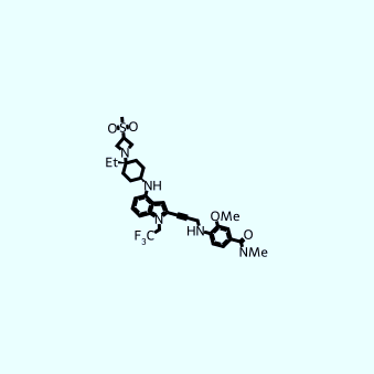 CC[C@]1(N2CC(S(C)(=O)=O)C2)CC[C@H](Nc2cccc3c2cc(C#CCNc2ccc(C(=O)NC)cc2OC)n3CC(F)(F)F)CC1